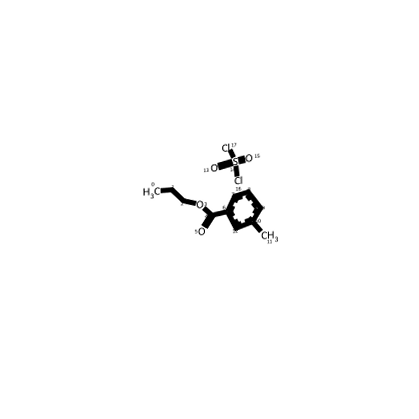 CCCOC(=O)c1cccc(C)c1.O=S(=O)(Cl)Cl